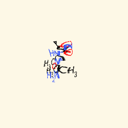 C[C@@H]1C[C@H](NC(=O)c2cc(C3CC3)on2)CCN1C(=O)CC(C)(C)CN